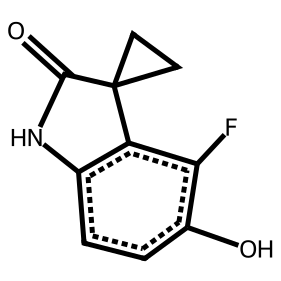 O=C1Nc2ccc(O)c(F)c2C12CC2